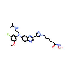 COc1cc(F)cc(N(CCNC(C)C)c2ccc3ncc(-c4cnn(CCCCCC(=O)NO)c4)nc3c2)c1